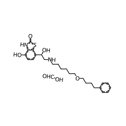 O=CO.O=c1[nH]c2c(O)ccc([C@@H](O)CNCCCCCCOCCCCc3ccccc3)c2s1